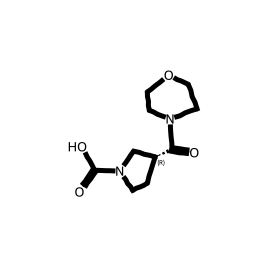 O=C(O)N1CC[C@@H](C(=O)N2CCOCC2)C1